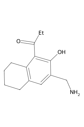 CCC(=O)c1c(O)c(CN)cc2c1CCCC2